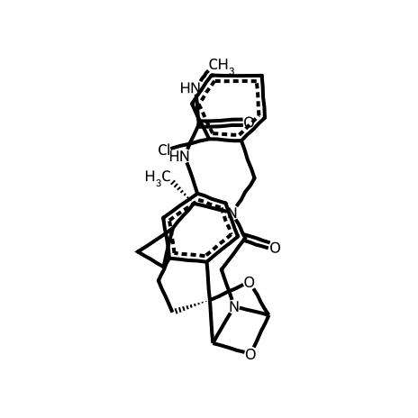 CNC(=O)Nc1ccc2c(c1)CC[C@@]21OC2OC1N2CC(=O)N(Cc1ccccc1Cl)[C@@H](C)C1CC1